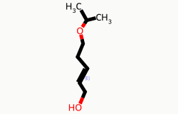 CC(C)OCC/C=C/CO